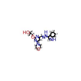 CC(C)(O)COc1nc(/C=N/Nc2c[nH]c3ccccc23)cc(N2CCOCC2)n1